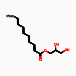 CCCCCCCCCC=CC=CC=CC=CC(=O)OCC(O)CO